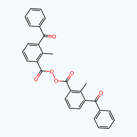 Cc1c(C(=O)OOC(=O)c2cccc(C(=O)c3ccccc3)c2C)cccc1C(=O)c1ccccc1